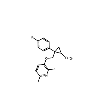 Cc1ncc(OCC2(c3ccc(F)cc3)CC2[C]=O)c(C)n1